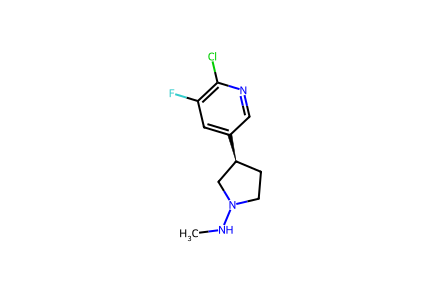 CNN1CC[C@H](c2cnc(Cl)c(F)c2)C1